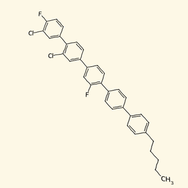 CCCCCc1ccc(-c2ccc(-c3ccc(-c4ccc(-c5ccc(F)c(Cl)c5)c(Cl)c4)cc3F)cc2)cc1